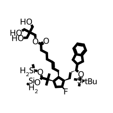 C[SiH2]OC(O[SiH2]C)C(C)(C)[C@@H]1C[C@H](F)[C@H](CC[C@@H](O[Si](C)(C)C(C)(C)C)C2Cc3ccccc3C2)[C@@H]1CC=CCCCC(=O)OCC(CO)(CO)CO